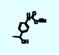 [CH2]C(O)c1ccc(NC(=O)OC(C)(C)C)cc1